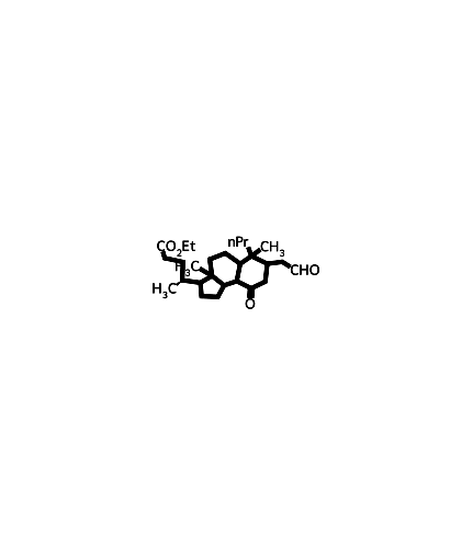 CCCC1(C)C(CC=O)CC(=O)C2C1CCC1(C)C2CCC1[C@H](C)CCC(=O)OCC